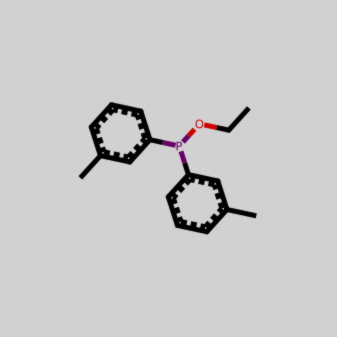 CCOP(c1cccc(C)c1)c1cccc(C)c1